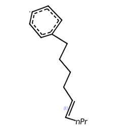 CCC/C=C/CCCCc1cc[c]cc1